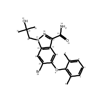 Cc1cccc(C)c1Oc1cc2c(C(N)=O)nn(CC(C)(C)O)c2cc1Br